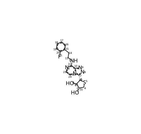 O[C@@H]1[C@H](O)CS[C@H]1c1nnc2c(NCCc3ccccc3F)nccn12